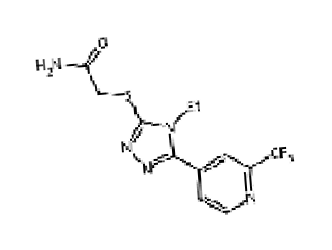 CCn1c(SCC(N)=O)nnc1-c1ccnc(C(F)(F)F)c1